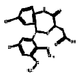 COc1cc(Cl)cc([C@H]2O[C@H](CC(=O)O)C(=S)Nc3ccc(Cl)cc32)c1OC